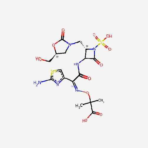 CC(C)(O/N=C(\C(=O)NC1C(=O)N(S(=O)(=O)O)[C@H]1CN1C[C@@H](CO)OC1=O)c1csc(N)n1)C(=O)O